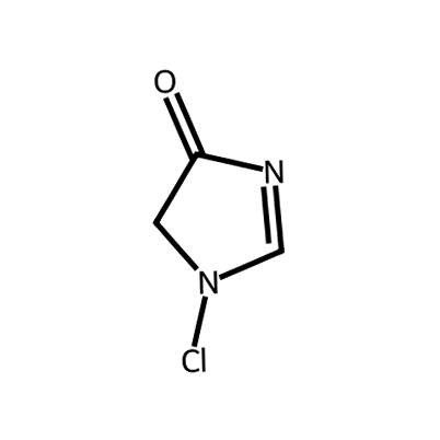 O=C1CN(Cl)C=N1